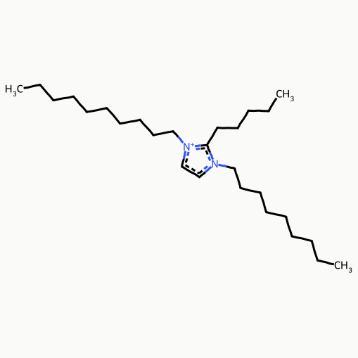 CCCCCCCCCC[n+]1ccn(CCCCCCCCC)c1CCCCC